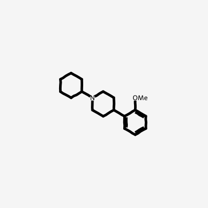 COc1ccccc1C1CCN(C2CCCCC2)CC1